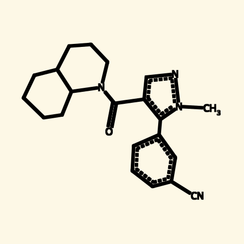 Cn1ncc(C(=O)N2CCCC3CCCCC32)c1-c1cccc(C#N)c1